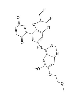 COCCOc1cc2ncnc(Nc3cc(Cl)c(OC(CF)CF)c(C4=CC(=O)C=CC4=O)c3)c2cc1OC